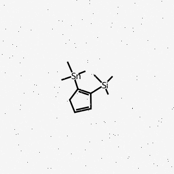 C[Si](C)(C)C1=[C]([Sn]([CH3])([CH3])[CH3])CC=C1